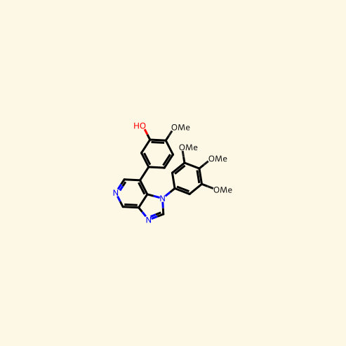 COc1ccc(-c2cncc3ncn(-c4cc(OC)c(OC)c(OC)c4)c23)cc1O